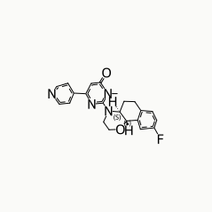 Cn1c(N2CCO[C@H]3c4cc(F)ccc4CC[C@@H]32)nc(-c2ccncc2)cc1=O